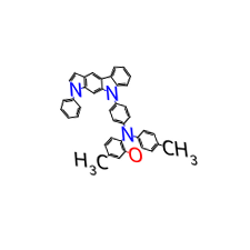 Cc1ccc2c(c1)Oc1cc(C)ccc1N2c1ccc(-n2c3ccccc3c3cc4ccn(-c5ccccc5)c4cc32)cc1